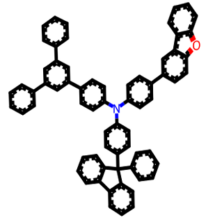 c1ccc(-c2cc(-c3ccccc3)cc(-c3ccc(N(c4ccc(-c5ccc6oc7ccccc7c6c5)cc4)c4ccc(C5(c6ccccc6)c6ccccc6-c6ccccc65)cc4)cc3)c2)cc1